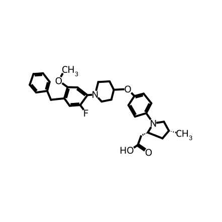 COc1cc(N2CCC(Oc3ccc(N4C[C@H](C)C[C@@H]4CC(=O)O)cc3)CC2)c(F)cc1Cc1ccccc1